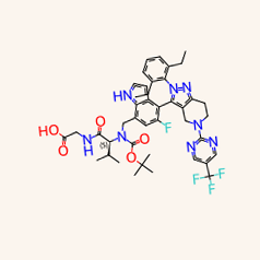 CCc1cccc(CC)c1-n1nc2c(c1-c1c(F)cc(CN(C(=O)OC(C)(C)C)[C@H](C(=O)NCC(=O)O)C(C)C)c3[nH]ccc13)CN(c1ncc(C(F)(F)F)cn1)CC2